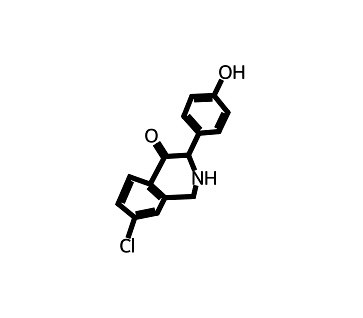 O=C1c2ccc(Cl)cc2CNC1c1ccc(O)cc1